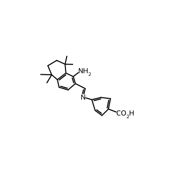 CC1(C)CCC(C)(C)c2c1ccc(C=Nc1ccc(C(=O)O)cc1)c2N